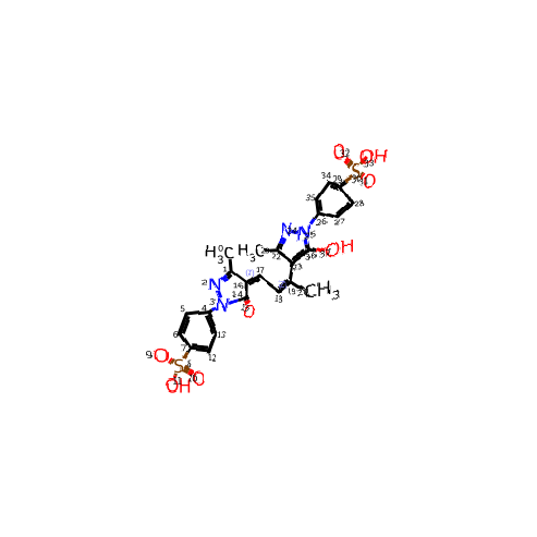 CC1=NN(c2ccc(S(=O)(=O)O)cc2)C(=O)/C1=C\C=C(\C)c1c(C)nn(-c2ccc(S(=O)(=O)O)cc2)c1O